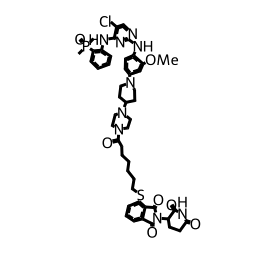 COc1cc(N2CCC(N3CCN(C(=O)CCCCCCSc4cccc5c4C(=O)N(C4CCC(=O)NC4=O)C5=O)CC3)CC2)ccc1Nc1ncc(Cl)c(Nc2ccccc2P(C)(C)=O)n1